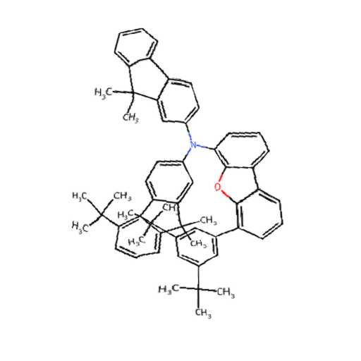 CC(C)(C)c1cc(-c2cccc3c2oc2c(N(c4ccc5c(c4)C(C)(C)c4ccccc4-5)c4ccc5c(c4)C(C)(C)c4cccc(C(C)(C)C)c4-5)cccc23)cc(C(C)(C)C)c1